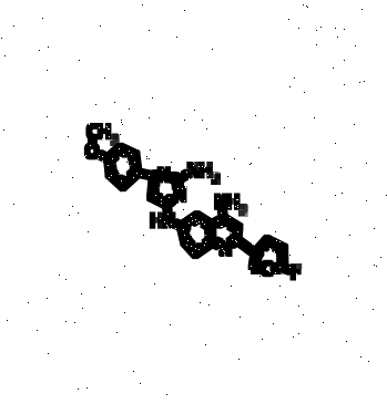 COc1ccc(-c2cc(Nc3ccc4nc(-c5ccc(F)cc5)cc(N)c4c3)nc(N)n2)cc1